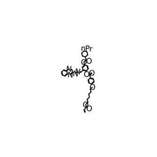 C=CC(=O)OCCCCCCOc1ccc(C(=O)Oc2ccc(OC(=O)C3CCC(CCC)CC3)cc2/C=N/N(C)c2cnc3ccccc3n2)cc1